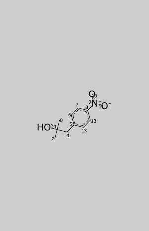 CC(C)(O)Cc1ccc([N+](=O)[O-])cc1